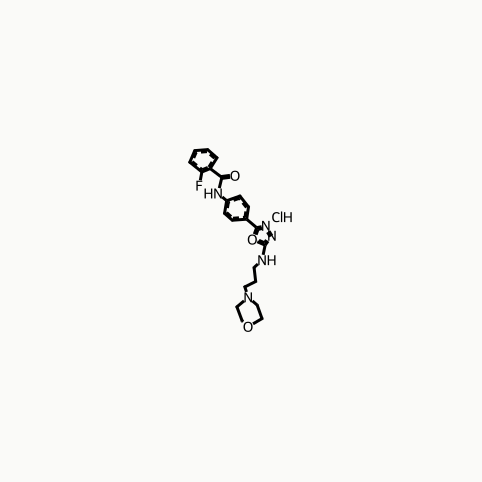 Cl.O=C(Nc1ccc(-c2nnc(NCCCN3CCOCC3)o2)cc1)c1ccccc1F